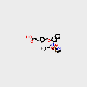 CC(C)CN(c1cc2c(cc1OCc1ccc(C=CC(=O)O)cc1)CCC2)S(=O)(=O)c1nccs1